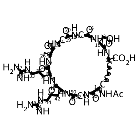 CC(=O)N[C@H]1CSSC[C@@H](C(=O)O)NC(=O)[C@H](CO)NC(=O)CNC(=O)CNC(=O)[C@H](C)NC(=O)[C@H](CCCNC(=N)N)NC(=O)[C@H](CCCNC(=N)N)NC(=O)CNC1=O